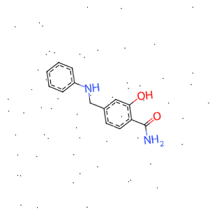 NC(=O)c1ccc(CNc2ccccc2)cc1O